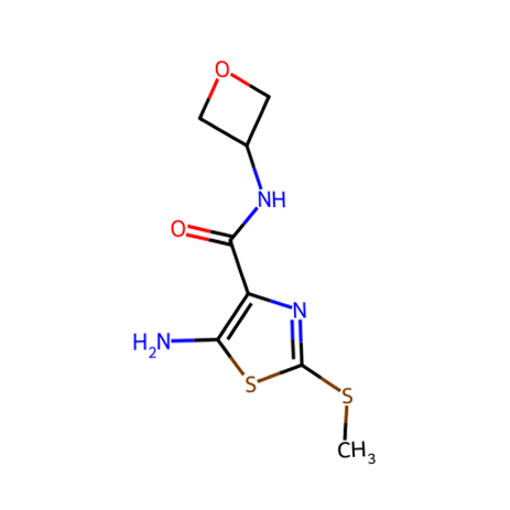 CSc1nc(C(=O)NC2COC2)c(N)s1